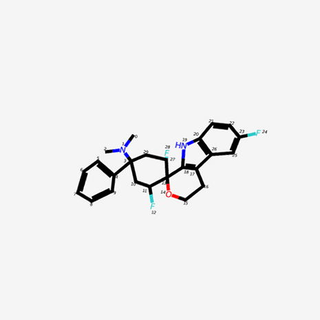 CN(C)C1(c2ccccc2)CC(F)C2(OCCc3c2[nH]c2ccc(F)cc32)C(F)C1